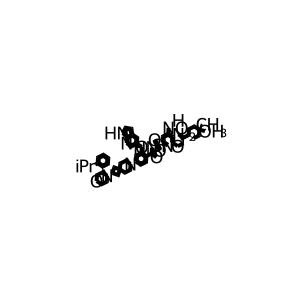 CC(C)c1ccccc1[C@H]1COCCN1C1CC2(CCN(c3ccc(C(=O)NS(=O)(=O)c4cc([N+](=O)[O-])c5c(n4)OC[C@H]([C@H]4CC[C@@](C)(O)CC4)N5)c(Oc4cnc5[nH]ccc5c4)c3)CC2)C1